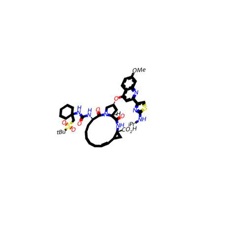 COc1ccc2c(O[C@@H]3C[C@H]4C(=O)N[C@]5(C(=O)O)CC5/C=C\CCCCC[C@H](NC(=O)NC5(CS(=O)(=O)C(C)(C)C)CCCCC5)C(=O)N4C3)cc(-c3csc(NC(C)C)n3)nc2c1